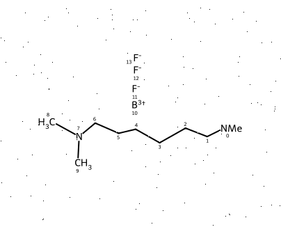 CNCCCCCCN(C)C.[B+3].[F-].[F-].[F-]